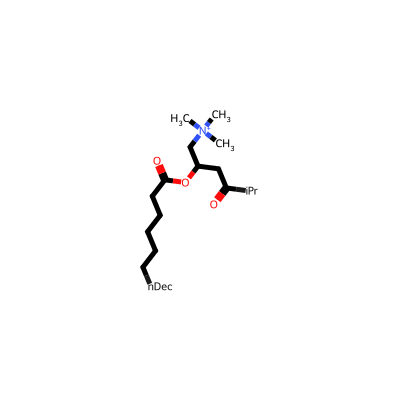 CCCCCCCCCCCCCCCC(=O)OC(CC(=O)C(C)C)C[N+](C)(C)C